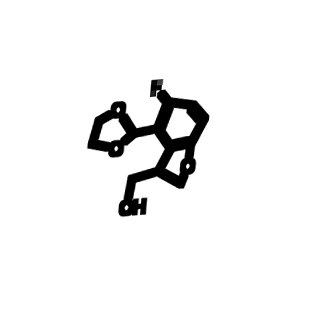 OCC1COc2ccc(F)c(C3OCCO3)c21